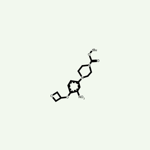 CC(C)(C)OC(=O)N1CCN(c2ccc(OC3COC3)c([N+](=O)[O-])c2)CC1